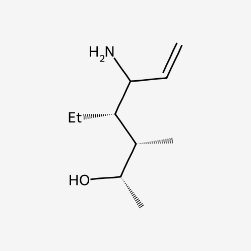 C=CC(N)[C@@H](CC)[C@H](C)[C@H](C)O